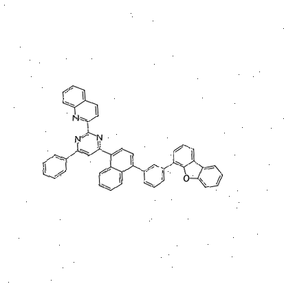 c1ccc(-c2cc(-c3ccc(-c4cccc(-c5cccc6c5oc5ccccc56)c4)c4ccccc34)nc(-c3ccc4ccccc4n3)n2)cc1